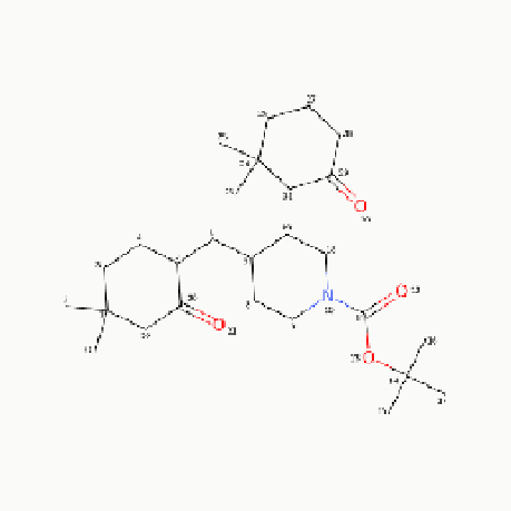 CC1(C)CCC(CC2CCN(C(=O)OC(C)(C)C)CC2)C(=O)C1.CC1(C)CCCC(=O)C1